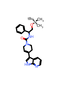 CC(C)(C)[Si](C)(C)OCC(NC(=O)N1CC=C(c2c[nH]c3ncccc23)CC1)c1ccccc1